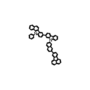 c1ccc(-n2c3ccc(-c4ccc5c6ccccc6n(-c6ccc7ccc(-c8ccc9c(c8)-c8cccc%10cccc-9c8%10)cc7c6)c5c4)cc3c3ccc4ccccc4c32)cc1